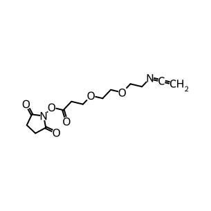 C=C=NCCOCCOCCC(=O)ON1C(=O)CCC1=O